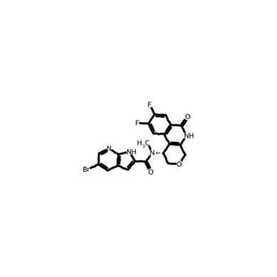 CN(C(=O)c1cc2cc(Br)cnc2[nH]1)[C@H]1COCc2[nH]c(=O)c3cc(F)c(F)cc3c21